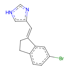 Brc1ccc2c(c1)/C(=C/c1c[nH]cn1)CC2